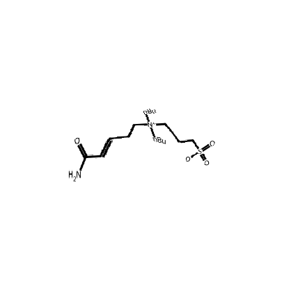 CCCC[N+](CCC=CC(N)=O)(CCCC)CCCS(=O)(=O)[O-]